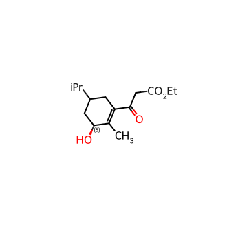 CCOC(=O)CC(=O)C1=C(C)[C@@H](O)CC(C(C)C)C1